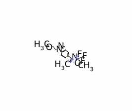 C/C=C(/N=C(\OC)C(F)(F)F)c1ccc2c(cnn2CCOC)c1